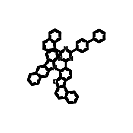 c1ccc(-c2ccc(-c3nc(-c4ccc5c(oc6ccc7ccccc7c65)c4-n4c5ccccc5c5cc6ccccc6cc54)nc(-c4cccc5ccccc45)n3)cc2)cc1